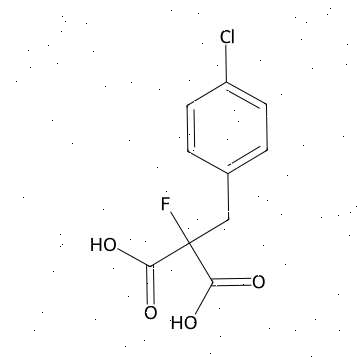 O=C(O)C(F)(Cc1ccc(Cl)cc1)C(=O)O